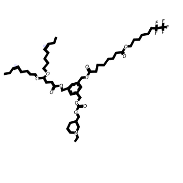 CC/C=C\CCCCOC(CCC(=O)OCc1cc(COC(=O)CCCCCCC(=O)OCCCCCCC(F)(F)C(F)(F)F)cc(COC(=O)OCC2CCCN(CC)C2)c1)OCCCC/C=C\CC